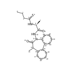 CCCC(=S)N[C@@H](C)C(=O)NN1C(=O)C(C)c2ccccc2-c2ccccc21